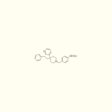 CC(=O)Nc1ccc(CN2CCC(CCc3ccccc3)(c3cccnc3)CC2)cc1